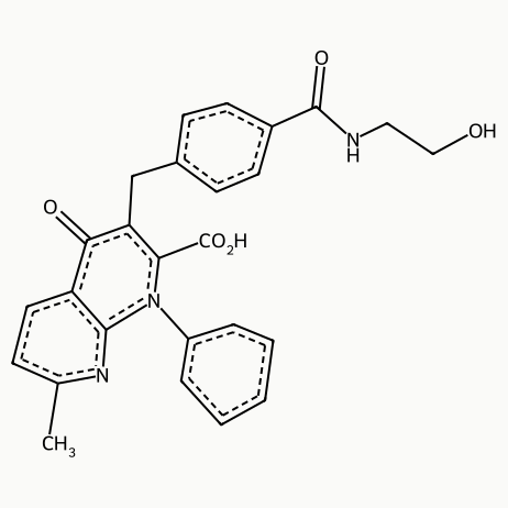 Cc1ccc2c(=O)c(Cc3ccc(C(=O)NCCO)cc3)c(C(=O)O)n(-c3ccccc3)c2n1